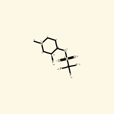 CN1CCC(OS(=O)(=O)C(F)(F)F)[C@@H](F)C1